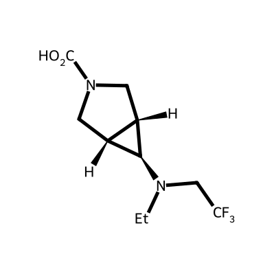 CCN(CC(F)(F)F)[C@H]1[C@@H]2CN(C(=O)O)C[C@@H]21